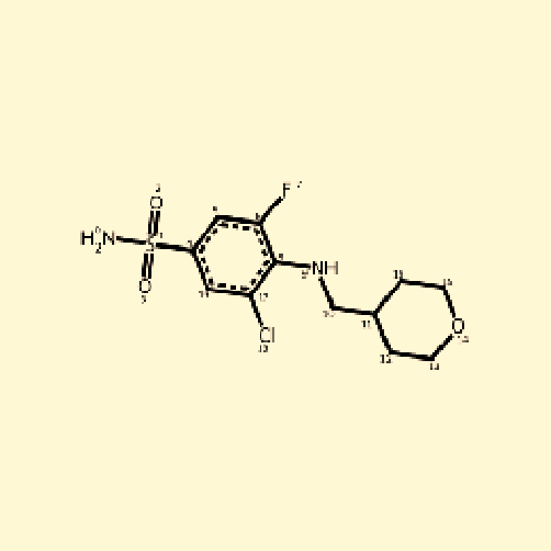 NS(=O)(=O)c1cc(F)c(NCC2CCOCC2)c(Cl)c1